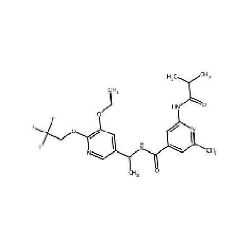 CCOc1cc(C(C)NC(=O)c2cc(C)nc(NC(=O)C(C)C)c2)cnc1OCC(F)(F)F